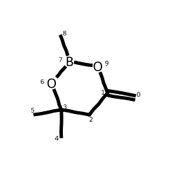 C=C1CC(C)(C)OB(C)O1